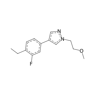 CCc1ccc(-c2cnn(CCOC)c2)cc1F